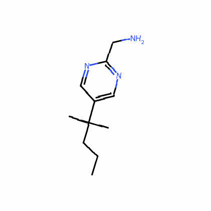 CCCC(C)(C)c1cnc(CN)nc1